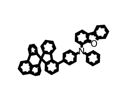 c1ccc(N(c2ccc(-c3cccc4c3-c3ccccc3C43c4ccccc4-c4cccc5cccc3c45)cc2)c2cccc3c2oc2ccccc23)cc1